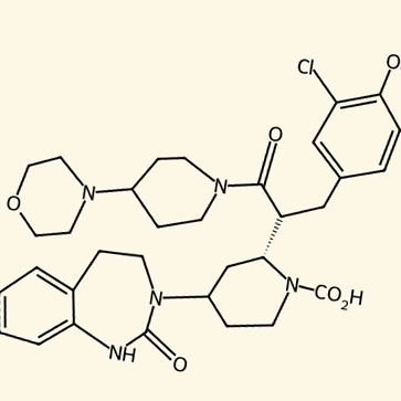 O=C(C(Cc1ccc(O)c(Cl)c1)[C@H]1CC(N2CCc3ccccc3NC2=O)CCN1C(=O)O)N1CCC(N2CCOCC2)CC1